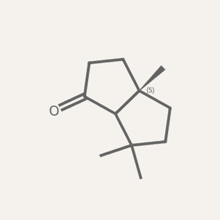 CC1(C)CC[C@@]2(C)CCC(=O)C12